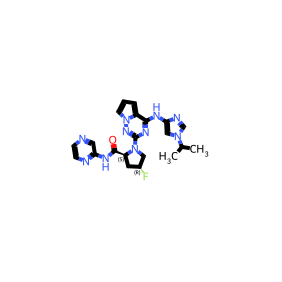 CC(C)n1cnc(Nc2nc(N3C[C@H](F)C[C@H]3C(=O)Nc3cnccn3)nn3cccc23)c1